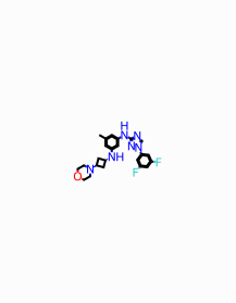 Cc1cc(Nc2ncn(-c3cc(F)cc(F)c3)n2)cc(N[C@H]2C[C@H](N3CCOCC3)C2)c1